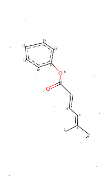 CC(C)=CC=CC(=O)Oc1ccccc1